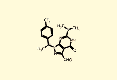 C[C@@H](c1ccc(C(F)(F)F)cc1)n1nc(C=O)c2c(=O)[nH]c(N(C)C)nc21